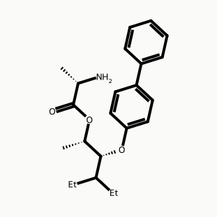 CCC(CC)[C@@H](Oc1ccc(-c2ccccc2)cc1)[C@H](C)OC(=O)[C@H](C)N